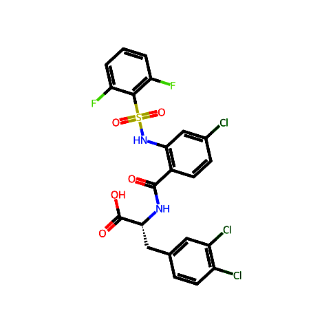 O=C(N[C@H](Cc1ccc(Cl)c(Cl)c1)C(=O)O)c1ccc(Cl)cc1NS(=O)(=O)c1c(F)cccc1F